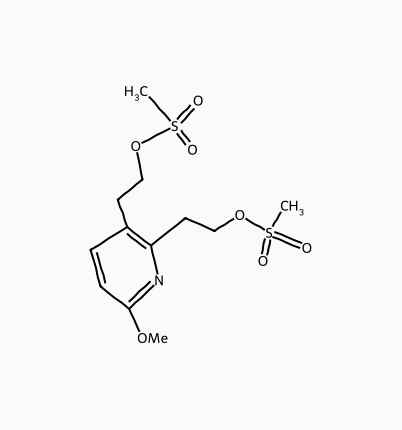 COc1ccc(CCOS(C)(=O)=O)c(CCOS(C)(=O)=O)n1